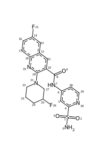 NS(=O)(=O)c1cc(NC(=O)c2cc3cc(F)ccc3nc2N2CCCC(F)C2)ccn1